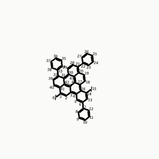 Ic1cc2c3cc(-c4ccccc4)cc(I)c3c3ccc4c(-c5ccccc5)ccc5c6c(-c7ccccc7)ccc1c6c2c3c45